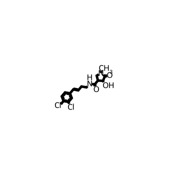 CN1CC(C(=O)NCCC=Cc2ccc(Cl)c(Cl)c2)C(O)C1=O